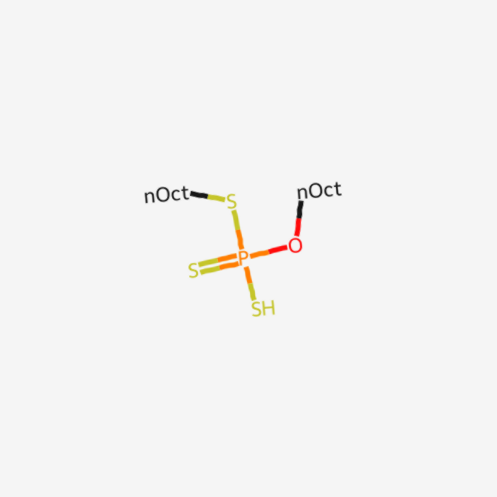 CCCCCCCCOP(=S)(S)SCCCCCCCC